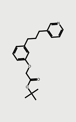 CC(C)(C)OC(=O)COc1cccc(CCCc2cccnc2)c1